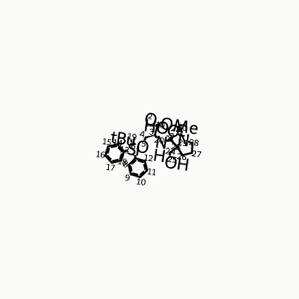 COC(=O)[C@H](CO[Si](c1ccccc1)(c1ccccc1)C(C)(C)C)NC(=O)C1(CO)CCCN1C(=O)O